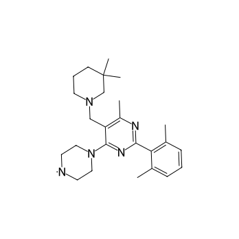 Cc1cccc(C)c1-c1nc(C)c(CN2CCCC(C)(C)C2)c(N2CC[N]CC2)n1